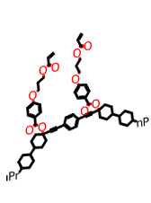 C=CC(=O)OCCCOc1ccc(C(=O)OC2(C#Cc3ccc(C#CC4(OC(=O)c5ccc(OCCCOC(=O)C=C)cc5)CCC(C5CCC(CCC)CC5)CC4)cc3)CCC(C3CCC(CCC)CC3)CC2)cc1